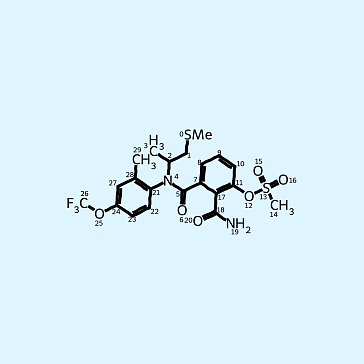 CSCC(C)N(C(=O)c1cccc(OS(C)(=O)=O)c1C(N)=O)c1ccc(OC(F)(F)F)cc1C